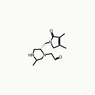 CC1=C(C)C(=O)N(C[C@H]2CNC(C)CN2CC=O)C1